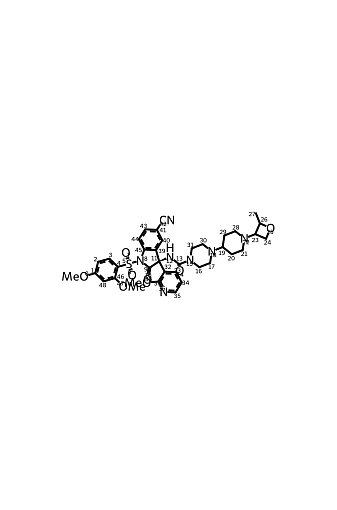 COc1ccc(S(=O)(=O)N2C(=O)[C@@](NC(=O)N3CCN(C4CCN(C5COC5C)CC4)CC3)(c3cccnc3OC)c3cc(C#N)ccc32)c(OC)c1